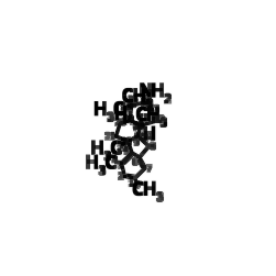 Cc1cc(C)c2c(c1)C[C@@H]1[C@@]3(C)CC[C@@H](N)C(C)(C)[C@@H]3CC[C@@]21C